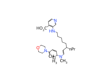 C=C(/C=C\C(C)N(C)/C=C/C(CCC)CCCCCNc1cnccc1C(=O)O)N1CCOCC1